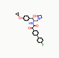 O=C(N[C@H](CN1CCC1)[C@H](O)c1ccc(OC2CC2)cc1)C(=O)c1ccc(-c2ccc(F)cc2)cc1